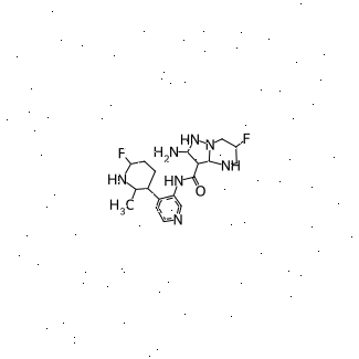 CC1NC(F)CCC1c1ccncc1NC(=O)C1C(N)NN2CC(F)CNC12